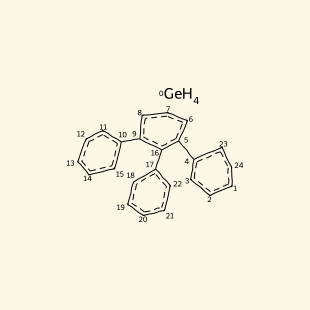 [GeH4].c1ccc(-c2cccc(-c3ccccc3)c2-c2ccccc2)cc1